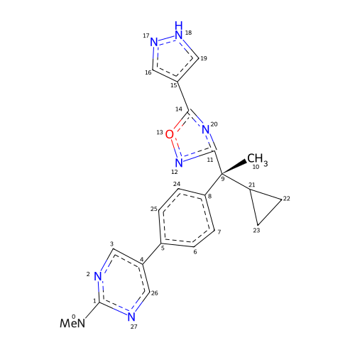 CNc1ncc(-c2ccc([C@](C)(c3noc(-c4cn[nH]c4)n3)C3CC3)cc2)cn1